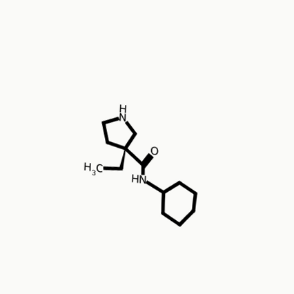 CC[C@@]1(C(=O)NC2CCCCC2)CCNC1